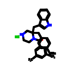 CC(=O)Nc1ccc(CC2(Cc3c[nH]c4ccccc34)CNCCN2C(=O)c2cc(C(F)(F)F)cc(C(F)(F)F)c2)cc1.Cl